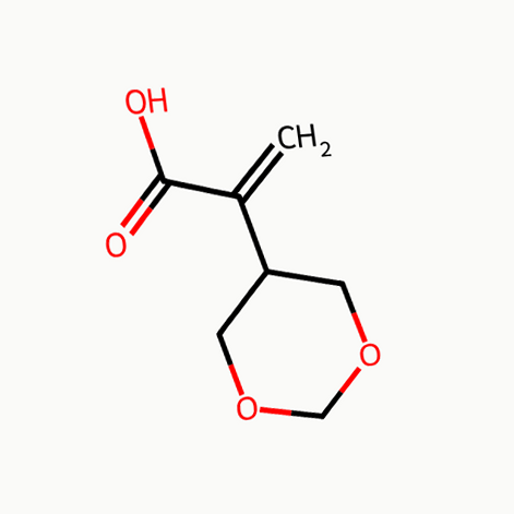 C=C(C(=O)O)C1COCOC1